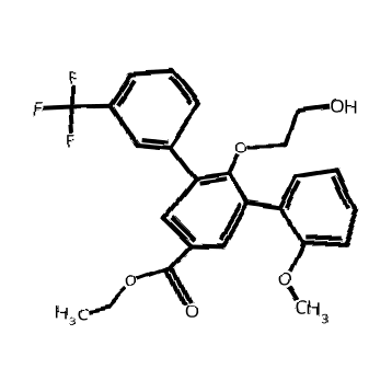 CCOC(=O)c1cc(-c2cccc(C(F)(F)F)c2)c(OCCO)c(-c2ccccc2OC)c1